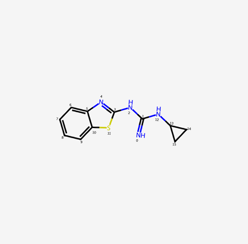 N=C(Nc1nc2ccccc2s1)NC1CC1